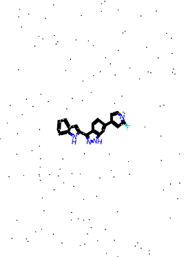 Fc1cc(-c2ccc3c(-c4cc5ccccc5[nH]4)n[nH]c3c2)ccn1